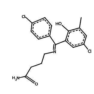 Cc1cc(Cl)cc(C(=NCCCC(N)=O)c2ccc(Cl)cc2)c1O